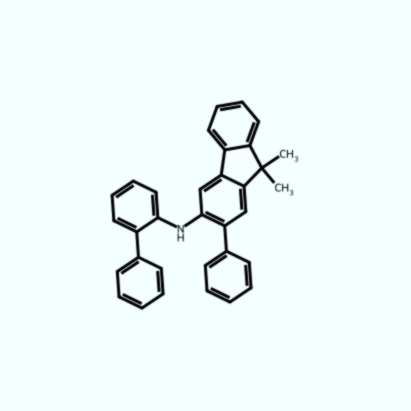 CC1(C)c2ccccc2-c2cc(Nc3ccccc3-c3ccccc3)c(-c3ccccc3)cc21